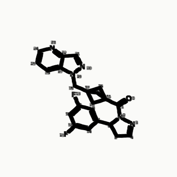 O=C(N1N=CCC1c1cc(F)cc(F)c1)C12CC(Cn3ncc4ncccc43)(C1)C2